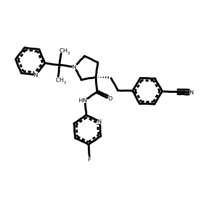 CC(C)(c1ccccn1)N1CC[C@@](CCc2ccc(C#N)cc2)(C(=O)Nc2ccc(F)cn2)C1